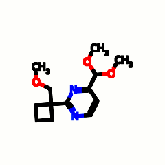 COCC1(c2nccc(C(OC)OC)n2)CCC1